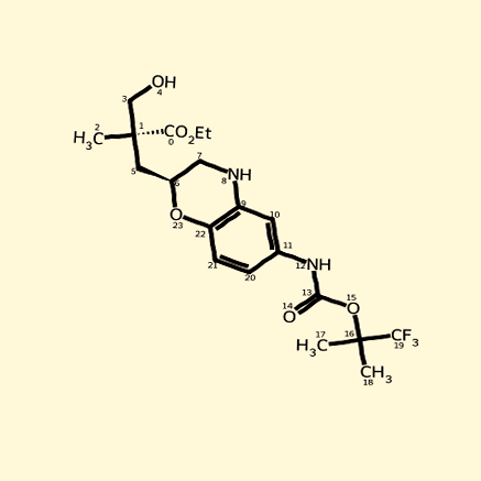 CCOC(=O)[C@](C)(CO)C[C@H]1CNc2cc(NC(=O)OC(C)(C)C(F)(F)F)ccc2O1